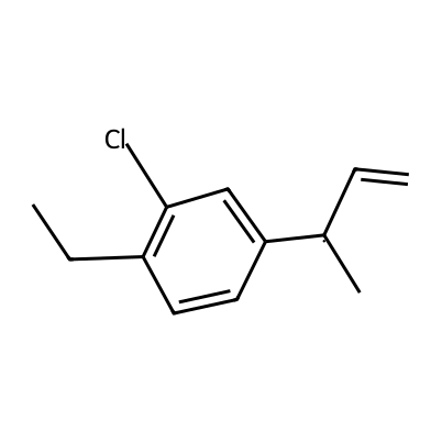 C=C[C](C)c1ccc(CC)c(Cl)c1